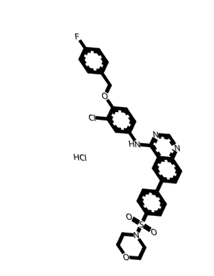 Cl.O=S(=O)(c1ccc(-c2ccc3ncnc(Nc4ccc(OCc5ccc(F)cc5)c(Cl)c4)c3c2)cc1)N1CCOCC1